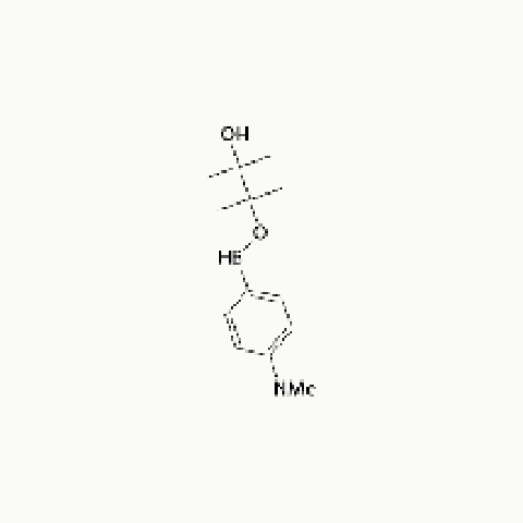 CNc1ccc(BOC(C)(C)C(C)(C)O)cc1